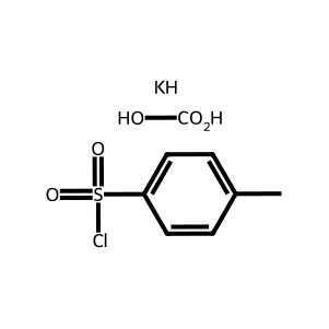 Cc1ccc(S(=O)(=O)Cl)cc1.O=C(O)O.[KH]